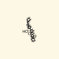 Cl.O=C1C(Cc2ccc(-c3ccc(OCCN4CCCCC4)cc3)cc2Cl)CCN1C1CCCCC1